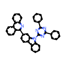 c1ccc(-c2nc(-c3ccccc3)nc(-n3c4ccccc4c4ccc(-c5nc6ccccc6c6ccccc56)cc43)n2)cc1